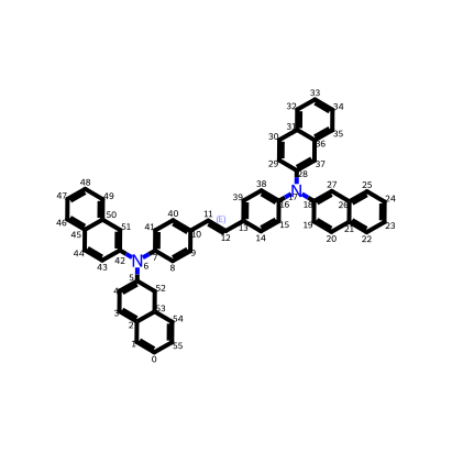 C1=CC2=CC=C(N(c3ccc(/C=C/c4ccc(N(c5ccc6ccccc6c5)c5ccc6ccccc6c5)cc4)cc3)c3ccc4ccccc4c3)CC2C=C1